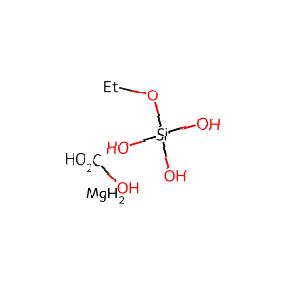 CCO[Si](O)(O)O.O=C(O)O.[MgH2]